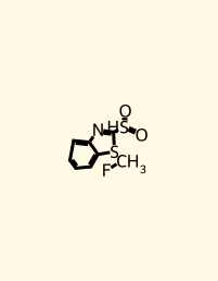 CF.O=[SH](=O)c1nc2ccccc2s1